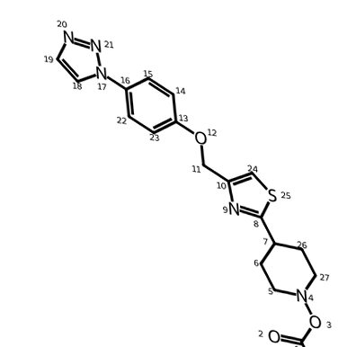 CC(C)(C)C(=O)ON1CCC(c2nc(COc3ccc(-n4ccnn4)cc3)cs2)CC1